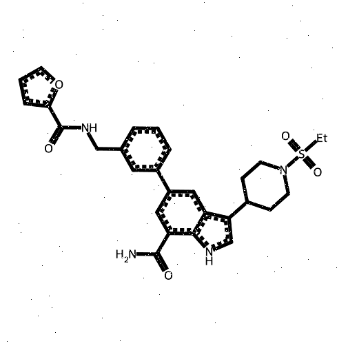 CCS(=O)(=O)N1CCC(c2c[nH]c3c(C(N)=O)cc(-c4cccc(CNC(=O)c5ccco5)c4)cc23)CC1